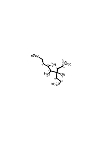 CCCCCCCCCCCCC(O)C(O)C(O)(CCCCCCCCCCCC)CCCCCCCCCCCC